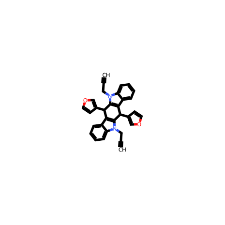 C#CCn1c2c(c3ccccc31)C(c1ccoc1)c1c(c3ccccc3n1CC#C)C2c1ccoc1